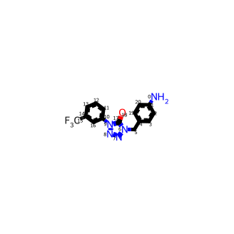 Nc1ccc(Cn2nnn(-c3cccc(C(F)(F)F)c3)c2=O)cc1